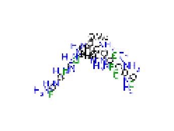 COc1cccc(N)c1.Cc1ccc(N)cc1.Cc1cccc(N)n1.Cc1ccccc1N.Nc1ccc(Cl)cc1.Nc1ccc(Cl)cn1.Nc1ccc(F)c(F)c1.Nc1ccc(F)cc1.Nc1cccc(Cl)c1.Nc1ccccc1Cl.Nc1ccccc1F